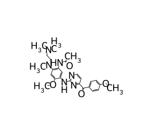 COc1ccc(C(=O)c2ccnc(Nc3cc(NC(C)=O)c(N(C)CCN(C)C)cc3OC)n2)cc1